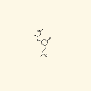 CNC[C@H](C)Oc1cc(F)cc(CCC(C)=O)c1